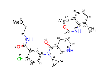 COCCNC(=O)c1cc(N(C(=O)[C@H]2CNC[C@@H](C(=O)Nc3c(C)cccc3OC)C2)C2CC2)ccc1Cl